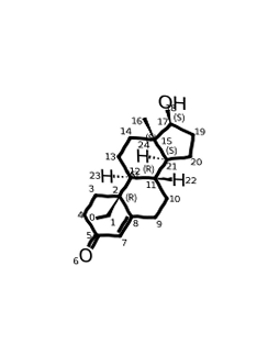 CC[C@]12CCC(=O)C=C1CC[C@@H]1[C@@H]2CC[C@]2(C)[C@@H](O)CC[C@@H]12